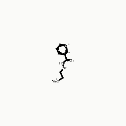 COCCNNC(=O)c1cccnc1